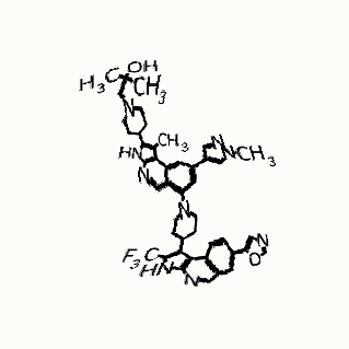 Cc1c(C2CCN(CC(C)(C)O)CC2)[nH]c2ncc3c(N4CCC(c5c(C(F)(F)F)[nH]c6ncc7cc(-c8cnco8)ccc7c56)CC4)cc(-c4cnn(C)c4)cc3c12